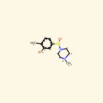 Cc1ccc([S+]([O-])N2CCN(C)CC2)cc1Br